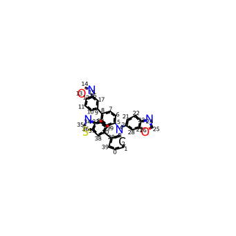 c1ccc(N(c2ccc(-c3ccc4ocnc4c3)cc2)c2ccc3ncoc3c2)c(-c2ccc3ncsc3c2)c1